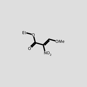 CCOC(=O)C(=COC)[N+](=O)[O-]